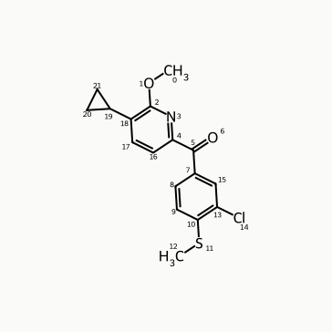 COc1nc(C(=O)c2ccc(SC)c(Cl)c2)ccc1C1CC1